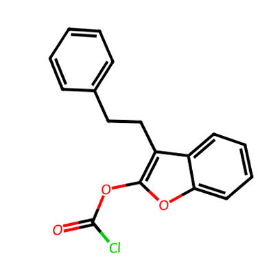 O=C(Cl)Oc1oc2ccccc2c1CCc1ccccc1